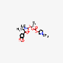 CC(OC(=O)OC1CCN(C)C1)OC(=O)N(C)C(C)C(=O)c1ccc2c(c1)OCO2